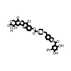 CCc1c2c(nc3ccc(OC(=O)N4CCN(Cc5ccc6c(c5)CN(C(=O)c5cc(C(C)C)c(O)cc5O)C6)CC4)cc13)-c1cc3c(c(=O)n1C2)COC(=O)C3(O)CC